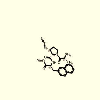 COC(=O)[C@H](Cc1ccc2ccccc2c1)NC(=O)[C@@H]1[C@H](N=[N+]=[N-])CCN1C(=O)[C@@H](C)N